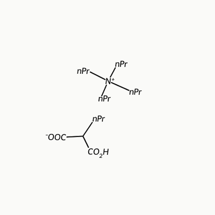 CCCC(C(=O)[O-])C(=O)O.CCC[N+](CCC)(CCC)CCC